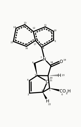 O=C(O)[C@H]1[C@@H]2C=C[C@@]3(CN(c4cccc5ccccc45)C(=O)[C@@H]13)O2